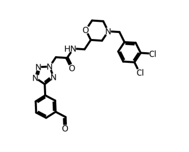 O=Cc1cccc(-c2nnn(CC(=O)NCC3CN(Cc4ccc(Cl)c(Cl)c4)CCO3)n2)c1